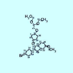 CCOC(COc1ccc(Oc2c(-c3ccc(Br)cc3)sc3cc(OC)ccc23)cc1)OCC